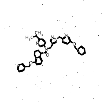 CC(C)c1ccc(N(Cc2cnn(Cc3ccc(OCc4ccccc4)cn3)c2)C(=O)C2CCCc3c(OCc4ccccc4)cccc32)cn1